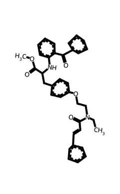 CCN(CCOc1ccc(CC(Nc2ccccc2C(=O)c2ccccc2)C(=O)OC)cc1)C(=O)C=Cc1ccccc1